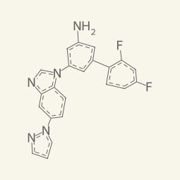 Nc1cc(-c2ccc(F)cc2F)cc(-n2cnc3cc(-n4cccn4)ccc32)c1